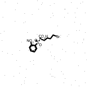 O=C(O)N(CCCCBr)S(=O)(=O)c1ccccc1[N+](=O)[O-]